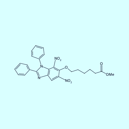 COC(=O)CCCCCOc1c([N+](=O)[O-])cc2nc(-c3ccccc3)n(-c3ccccc3)c2c1[N+](=O)[O-]